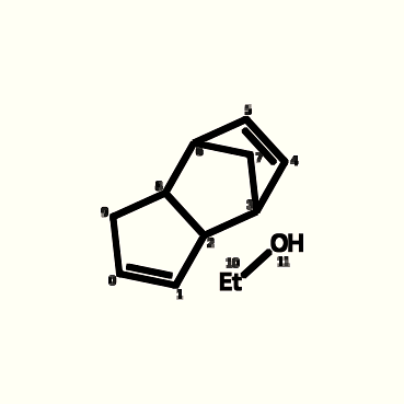 C1=CC2C3C=CC(C3)C2C1.CCO